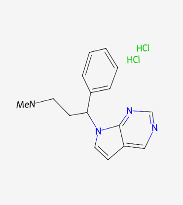 CNCCC(c1ccccc1)n1ccc2cncnc21.Cl.Cl